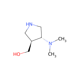 CN(C)[C@H]1CNC[C@@H]1CO